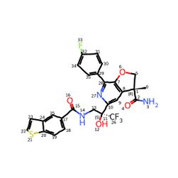 C[C@]1(C(N)=O)COc2c1cc([C@@](O)(CNC(=O)c1ccc3sccc3c1)C(F)(F)F)nc2-c1ccc(F)cc1